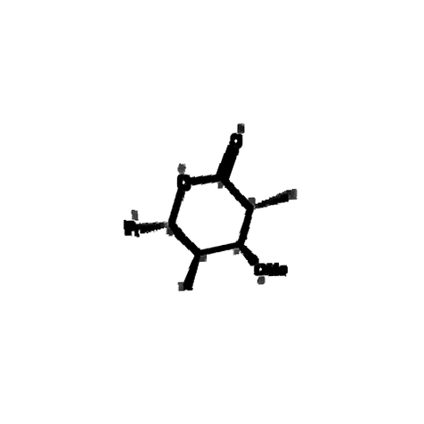 CO[C@H]1[C@@H](C)[C@H](C(C)C)OC(=O)[C@@H]1C